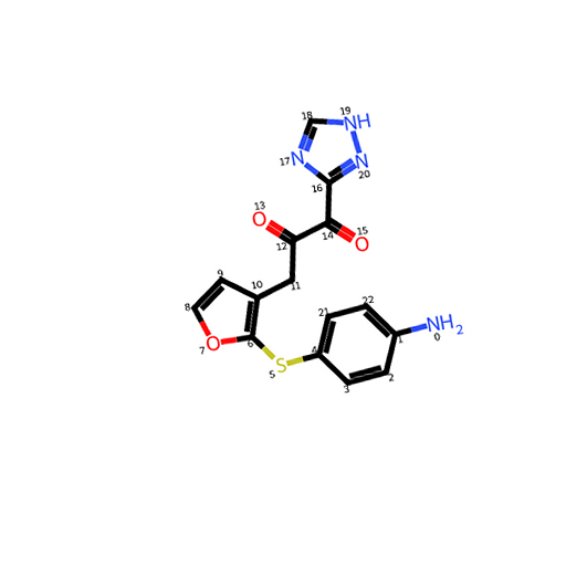 Nc1ccc(Sc2occc2CC(=O)C(=O)c2nc[nH]n2)cc1